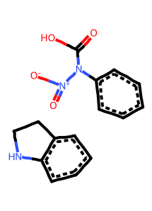 O=C(O)N(c1ccccc1)[N+](=O)[O-].c1ccc2c(c1)CCN2